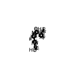 CC1(O)CN(c2ncc(-c3cn4c5c(nc4cc3F)[C@H](O)C[C@@H]5c3ccc(F)cc3OC(F)F)cn2)C1